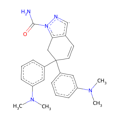 CN(C)c1cccc(C2(c3cccc(N(C)C)c3)C=Cc3[c]nn(C(N)=O)c3C2)c1